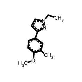 CCn1ccc(-c2ccc(OC)c(C)c2)n1